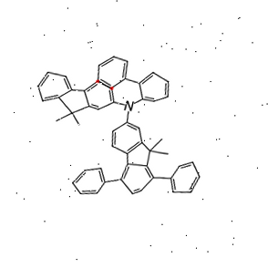 CC1(C)c2ccccc2-c2ccc(N(c3ccc4c(c3)C(C)(C)c3c(-c5ccccc5)ccc(-c5ccccc5)c3-4)c3ccccc3-c3ccccc3)cc21